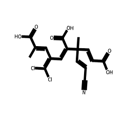 CC(=CC(C=C(C(=O)O)C(C)(C=CC#N)C=CC(=O)O)=C(Cl)Cl)C(=O)O